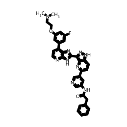 CN(C)CCOc1cc(F)cc(-c2ccnc3[nH]c(-c4n[nH]c5ccc(-c6cncc(NC(=O)Cc7ccccc7)c6)nc45)nc23)c1